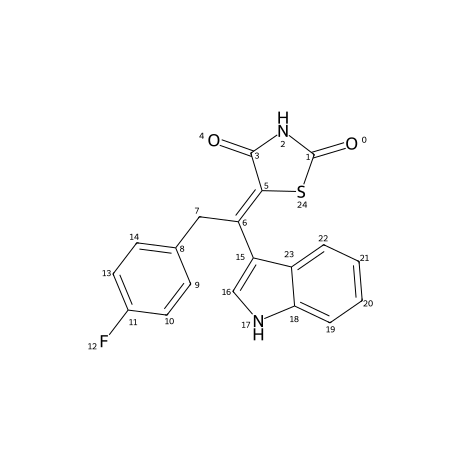 O=C1NC(=O)C(=C(Cc2ccc(F)cc2)c2c[nH]c3ccccc23)S1